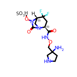 NC1(CONC(=O)[C@@H]2CC(F)(F)[C@@H]3CN2C(=O)N3OS(=O)(=O)O)CCNC1